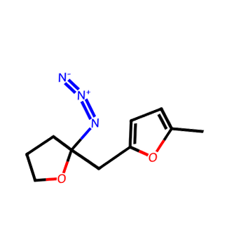 Cc1ccc(CC2(N=[N+]=[N-])CCCO2)o1